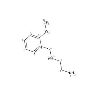 NCCNCc1ccccc1OC(F)(F)F